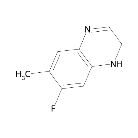 Cc1cc2c(cc1F)NCC=N2